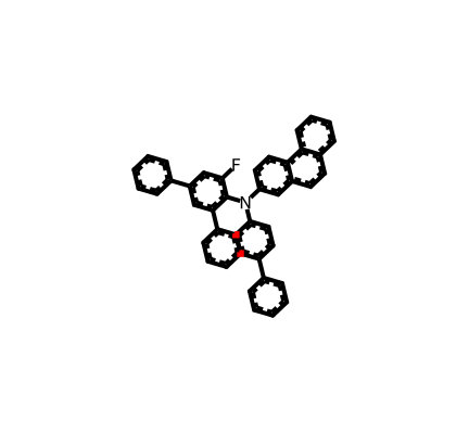 Fc1cc(-c2ccccc2)cc(-c2ccccc2)c1N(c1ccc(-c2ccccc2)cc1)c1ccc2c(ccc3ccccc32)c1